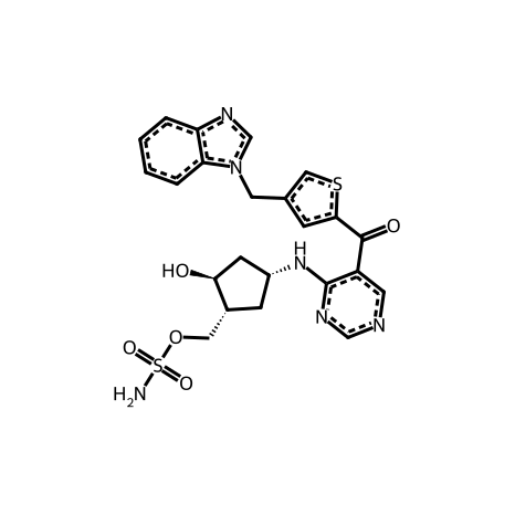 NS(=O)(=O)OC[C@H]1C[C@@H](Nc2ncncc2C(=O)c2cc(Cn3cnc4ccccc43)cs2)C[C@@H]1O